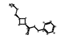 NCC[C@H]1C[C@@H](C(=O)CCc2ccccc2)C1